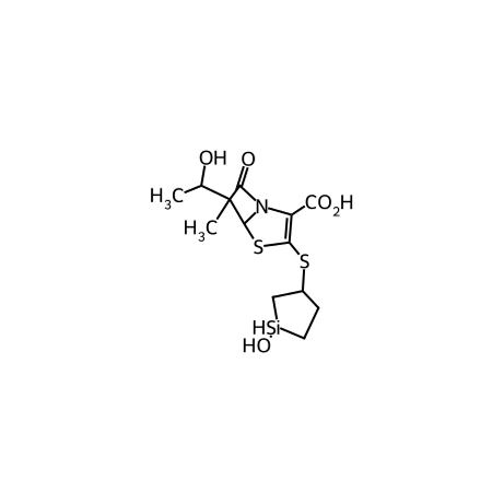 CC(O)C1(C)C(=O)N2C(C(=O)O)=C(SC3CC[SiH](O)C3)SC21